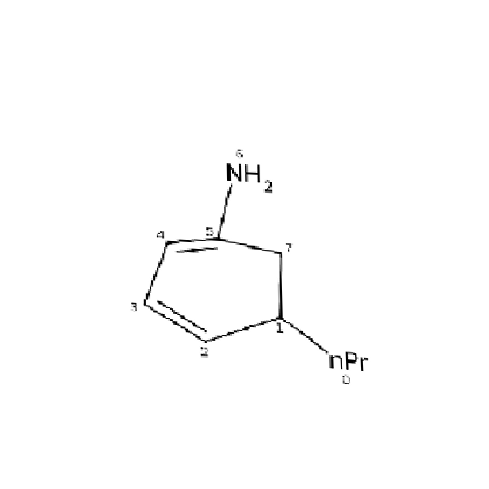 CCCC1C=CC=C(N)C1